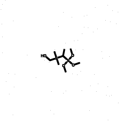 CO[Si](OC)(OC)C(C)[Si](C)(C)CO